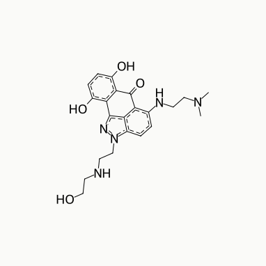 CN(C)CCNc1ccc2c3c(nn2CCNCCO)-c2c(O)ccc(O)c2C(=O)c13